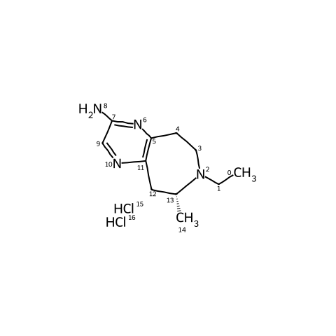 CCN1CCc2nc(N)cnc2C[C@H]1C.Cl.Cl